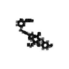 COc1cc(CC#Cc2cn3c(=O)n(Cc4cccc(F)c4)c(=O)c(C)c3s2)ccn1